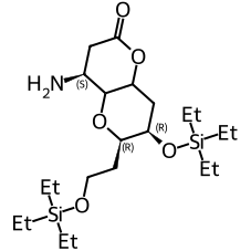 CC[Si](CC)(CC)OCC[C@H]1OC2C(C[C@H]1O[Si](CC)(CC)CC)OC(=O)C[C@@H]2N